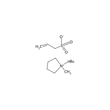 C=CCS(=O)(=O)[O-].CCCC[N+]1(C)CCCC1